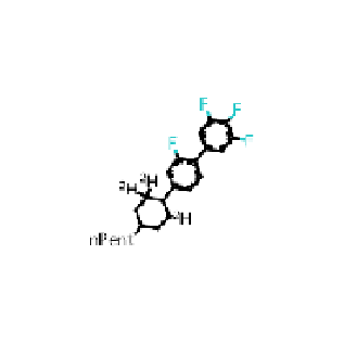 [2H]C1CC(CCCCC)CC([2H])([2H])C1c1ccc(-c2cc(F)c(F)c(F)c2)c(F)c1